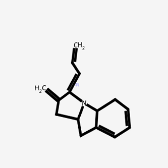 C=C/C=C1\C(=C)CC2CC3=CC=CCC3N12